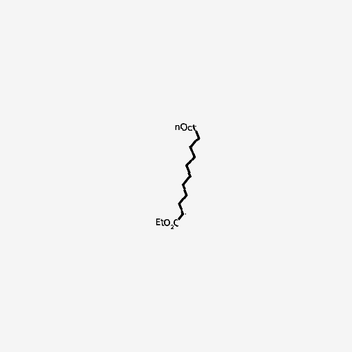 CCCCCCCCCCCCCCCC[CH]C(=O)OCC